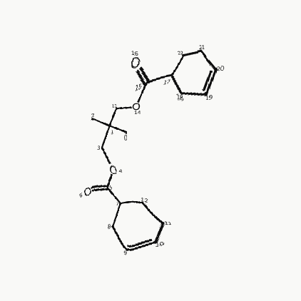 CC(C)(COC(=O)C1CC=CCC1)COC(=O)C1CC=CCC1